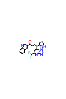 O=C(CCC(c1cc(C(F)F)nc2ncnn12)C1CCCN1)c1cnc2ccccc2c1